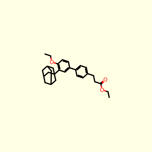 CCOC(=O)CCc1ccc(-c2ccc(OCC)c(C34CC5CC(CC(C5)C3)C4)c2)cc1